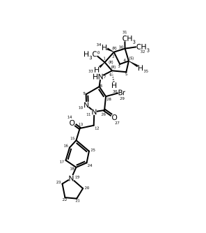 C[C@@H]1[C@H]2C[C@@H](C[C@H]1Nc1cnn(CC(=O)c3ccc(N4CCCC4)cc3)c(=O)c1Br)C2(C)C